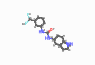 O=C(Nc1cccc(C(F)F)c1)Nc1ccc2[nH]ccc2c1